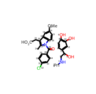 CC(C)NCC(O)c1ccc(O)c(O)c1.COc1ccc2c(c1)c(CC(=O)O)c(C)n2C(=O)c1ccc(Cl)cc1